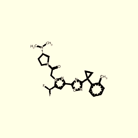 Cc1ccccc1C1(c2noc(-c3cc(C(F)F)n(CC(=O)N4CC[C@H](N(C)C)C4)n3)n2)CC1